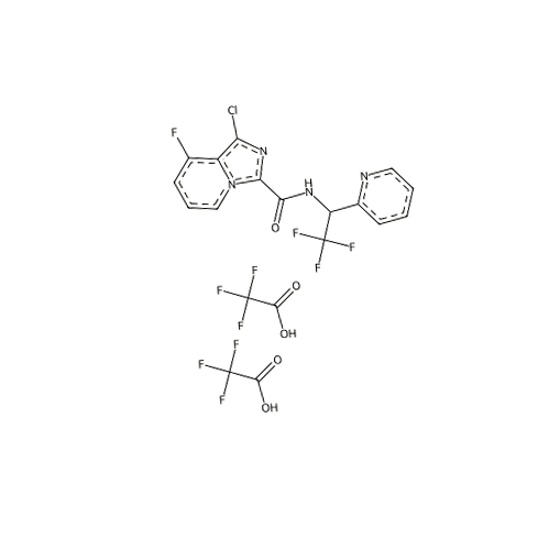 O=C(NC(c1ccccn1)C(F)(F)F)c1nc(Cl)c2c(F)cccn12.O=C(O)C(F)(F)F.O=C(O)C(F)(F)F